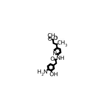 COC(=O)CC(C)c1ccc(NC(=O)Cc2ccc(N)c(O)c2)nc1